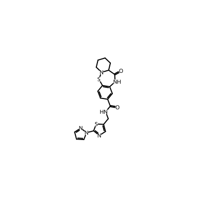 O=C(NCc1cnc(-n2cccn2)s1)c1ccc2c(c1)NC(=O)C1CCCCN1S2